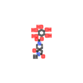 CCN1C(=O)CC2(CCN(C(=O)O[C@H]3C(O)C(O)[C@@H](O)C(O)C3O)CC2)C1=O